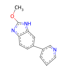 COc1nc2ccc(-c3cccnc3)cc2[nH]1